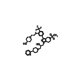 CS(=O)(=O)N1CCc2c(c(-c3ccc(C(F)(F)F)c(SCCN4CCC(O)CC4)c3)nn2CC(O)CN2CCC(c3ccccn3)CC2)C1